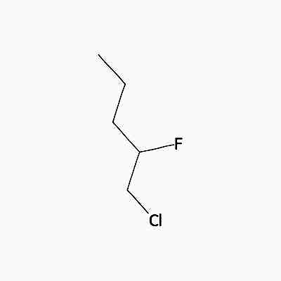 CCCC(F)CCl